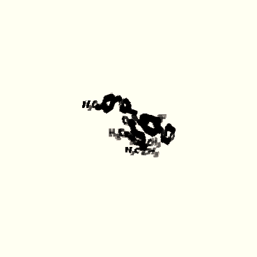 CCc1ccc(CN2CC3C(C2)C3CN(C(=O)c2cc(C(C)(C)C)nn2C)c2ccc(N3CCOCC3)c(F)c2)cc1